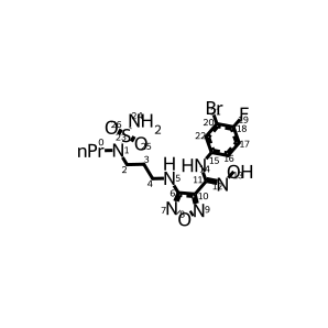 CCCN(CCCNc1nonc1/C(=N/O)Nc1ccc(F)c(Br)c1)S(N)(=O)=O